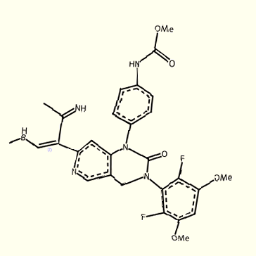 CB/C=C(\C(C)=N)c1cc2c(cn1)CN(c1c(F)c(OC)cc(OC)c1F)C(=O)N2c1ccc(NC(=O)OC)cc1